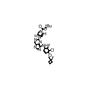 CC(C)(C)OC(=O)N1C[C@@H]2C[C@H]1CN2c1ncc2ncnc(Nc3ccc(OCC4(F)CCC4)c(Cl)c3F)c2n1